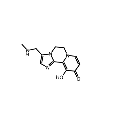 CNCc1cnc2n1CCn1ccc(=O)c(O)c1-2